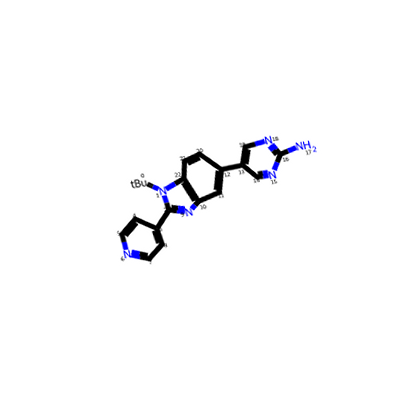 CC(C)(C)n1c(-c2ccncc2)nc2cc(-c3cnc(N)nc3)ccc21